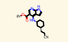 CC(C)OC(=O)c1cnc2[nH]ccc2c1N[C@H]1CCC[C@@H](CCC#N)C1